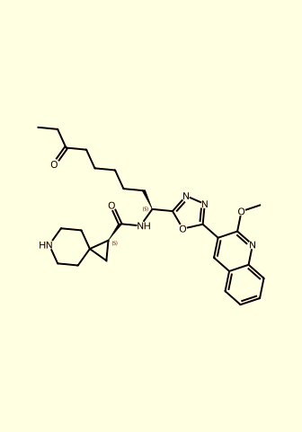 CCC(=O)CCCCC[C@H](NC(=O)[C@H]1CC12CCNCC2)c1nnc(-c2cc3ccccc3nc2OC)o1